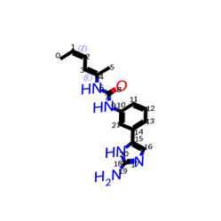 C/C=C\C=C(/C)NC(=O)Nc1cccc(-c2cnc(N)[nH]2)c1